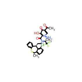 CC(=O)c1cn(N)c(C(=O)N(CC[C@@H]2c3ccccc3S[C@@H](C)c3cccc(Cl)c32)[C@H](C)C(F)(F)F)c(O)c1=O